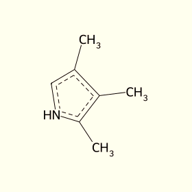 Cc1c[nH]c(C)c1C